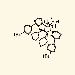 C[SiH](C)[Zr]([Cl])([Cl])([CH]1C(CC2CCCCC2)=Cc2c(-c3ccc(C(C)(C)C)cc3)cccc21)[CH]1C(CC2CCCCC2)=Cc2c(-c3ccc(C(C)(C)C)cc3)cccc21